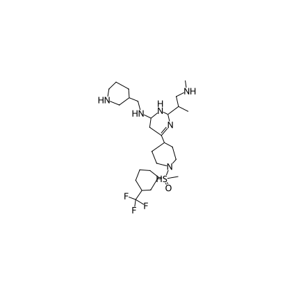 CNCC(C)C1N=C(C2CCN([SH](C)(=O)C3CCCC(C(F)(F)F)C3)CC2)CC(NCC2CCCNC2)N1